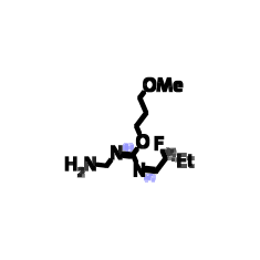 CC[C@@H](F)/C=N\C(=N/CN)OCCCOC